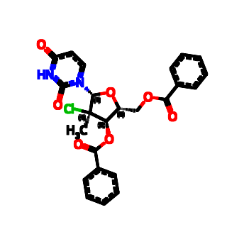 C[C@@]1(Cl)[C@H](OC(=O)c2ccccc2)[C@@H](COC(=O)c2ccccc2)O[C@H]1n1ccc(=O)[nH]c1=O